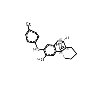 CCc1ccc(Nc2cc3c(cc2O)[C@]24CCCC[C@@H]2[C@H](C3)NCC4)cc1